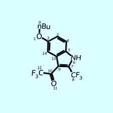 CCCCOc1ccc2[nH]c(C(F)(F)F)c(C(=O)C(F)(F)F)c2c1